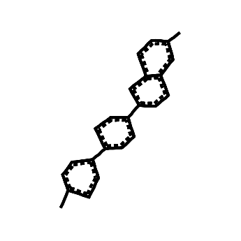 Cc1ccc(-c2ccc(-c3ccc4cc(C)ccc4c3)cc2)cc1